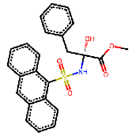 COC(=O)[C@](O)(Cc1ccccc1)NS(=O)(=O)c1c2ccccc2cc2ccccc12